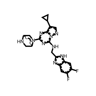 Fc1cc2nc(CNc3nc(N4CC5CCCC4CN5)nc4c(C5CC5)cnn34)[nH]c2cc1F